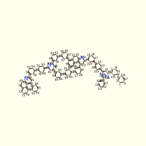 c1ccc(-c2cccc(-c3cc(-c4ccc(-c5cccc(-c6cc(-c7ccccc7)c7c(ccc8c(-c9cccc(-c%10cccc(-c%11nc(-c%12ccc(-c%13cccc(-c%14cc(-c%15ccccc%15)c%15c(ccc%16ccccc%16%15)n%14)c%13)cc%12)cc(-c%12cccc(-c%13ccccc%13)c%12)n%11)c%10)c9)cccc87)n6)c5)cc4)nc(-c4ccccc4)n3)c2)cc1